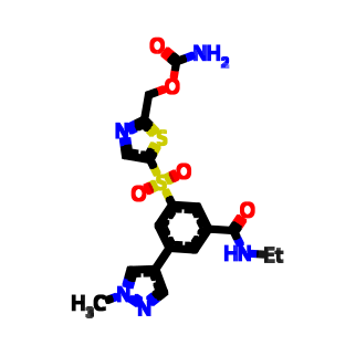 CCNC(=O)c1cc(-c2cnn(C)c2)cc(S(=O)(=O)c2cnc(COC(N)=O)s2)c1